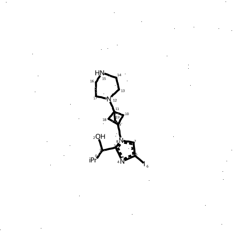 CC(C)C(O)c1nc(I)cn1C12CC(N3CCNCC3)(C1)C2